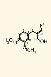 COc1ccc(C/C(=C\F)CO)cc1OC